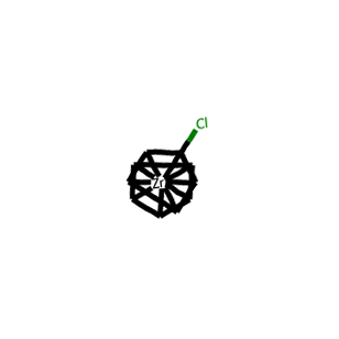 Cl[C]12[CH]3[CH]4[CH]5[CH]1[Zr]45321678[CH]2[CH]1[CH]6[CH]7[CH]28